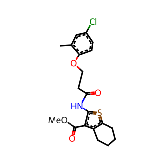 COC(=O)c1c(NC(=O)CCOc2ccc(Cl)cc2C)sc2c1CCCC2